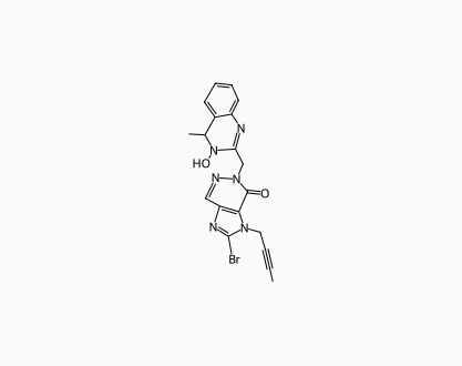 CC#CCn1c(Br)nc2cnn(CC3=Nc4ccccc4C(C)N3O)c(=O)c21